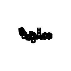 CC(=O)N1C2CCC1CC(Oc1ccc3c(c1)OCCN(CC(O)CN1CCc4ccccc4C1)C3=O)C2